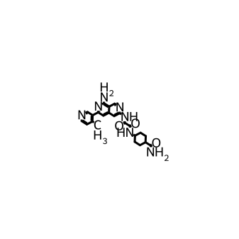 Cc1ccncc1-c1cc2cc(NC(=O)C(=O)NC3CCC(C(N)=O)CC3)ncc2c(N)n1